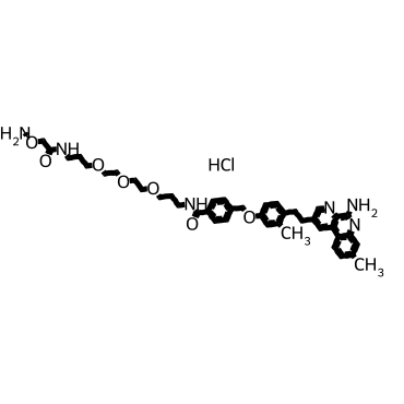 Cc1ccc2c(c1)nc(N)c1ncc(CCc3ccc(OCc4ccc(C(=O)NCCCOCCOCCOCCCNC(=O)CON)cc4)cc3C)cc12.Cl